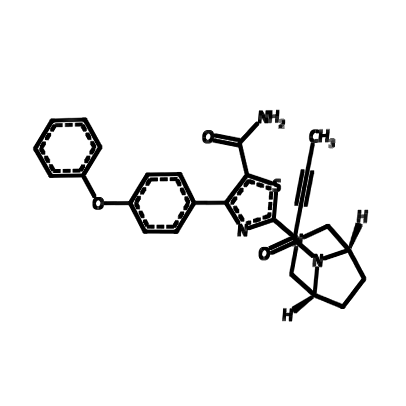 CC#CC(=O)N1[C@@H]2CC[C@H]1CN(c1nc(-c3ccc(Oc4ccccc4)cc3)c(C(N)=O)s1)C2